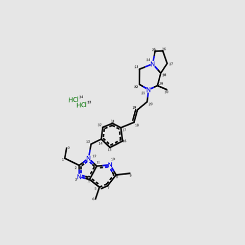 CCc1nc2c(C)cc(C)nc2n1Cc1ccc(/C=C/CN2CCN3CCCC3C2C)cc1.Cl.Cl